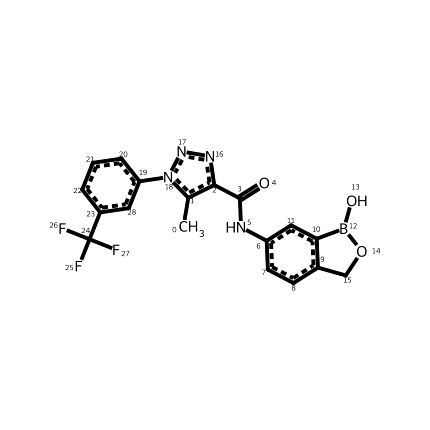 Cc1c(C(=O)Nc2ccc3c(c2)B(O)OC3)nnn1-c1cccc(C(F)(F)F)c1